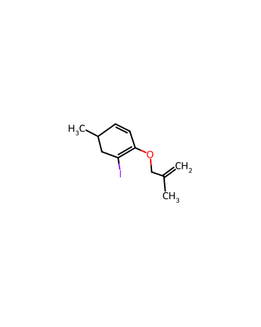 C=C(C)COC1=C(I)CC(C)C=C1